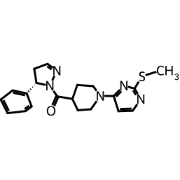 CSc1nccc(N2CCC(C(=O)N3N=CC[C@H]3c3ccccc3)CC2)n1